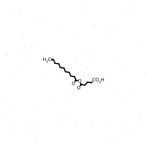 C=CCCCCCCCCC(=O)OC(=O)CCCC(=O)O